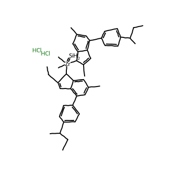 CCC1=Cc2c(-c3ccc(C(C)CC)cc3)cc(C)cc2[CH]1[Zr]([CH3])([CH3])(=[SiH2])[CH]1C(C)=Cc2c(-c3ccc(C(C)CC)cc3)cc(C)cc21.Cl.Cl